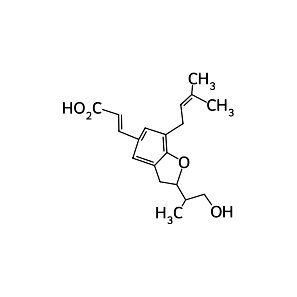 CC(C)=CCc1cc(C=CC(=O)O)cc2c1OC(C(C)CO)C2